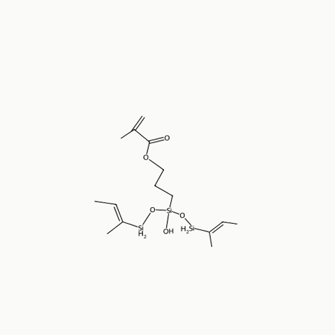 C=C(C)C(=O)OCCC[Si](O)(O[SiH2]C(C)=CC)O[SiH2]C(C)=CC